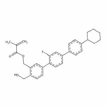 C=C(C)C(=O)OCc1cc(-c2ccc(-c3ccc(C4CCCCC4)cc3)cc2F)ccc1CO